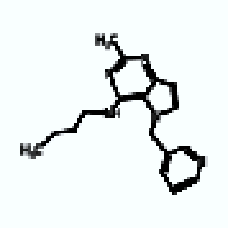 CCCCNc1nc(C)nc2ccn(Cc3cccnc3)c12